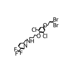 FC(F)(F)c1ccc(CNCCCOc2c(Cl)cc(OCC=C(Br)Br)cc2Cl)nc1